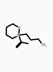 C=C(C)[Si]1(CCCC(F)(F)F)CCCCO1